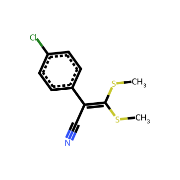 CSC(SC)=C(C#N)c1ccc(Cl)cc1